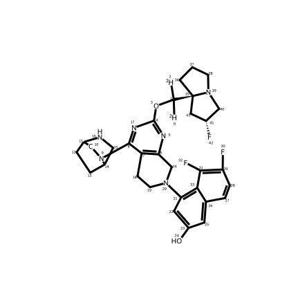 [2H]C([2H])(Oc1nc2c(c(N3CC4CCC3CN4)n1)CCN(c1cc(O)cc3ccc(F)c(F)c13)C2)[C@@]12CCCN1C[C@H](F)C2